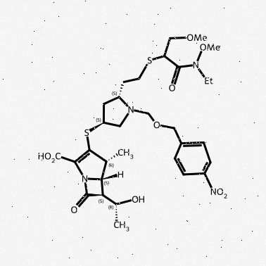 CCN(OC)C(=O)C(COC)SCC[C@H]1C[C@H](SC2=C(C(=O)O)N3C(=O)[C@H]([C@@H](C)O)[C@H]3[C@H]2C)CN1COCc1ccc([N+](=O)[O-])cc1